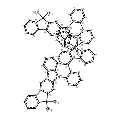 CC1(C)c2ccccc2-c2cc3c4ccccc4n(-c4ccccc4-c4cccc5c4-c4ccccc4S54(=O)c5ccccc5-c5c(-c6ccccc6-n6c7ccccc7c7cc8c(cc76)C(C)(C)c6ccccc6-8)cccc54)c3cc21